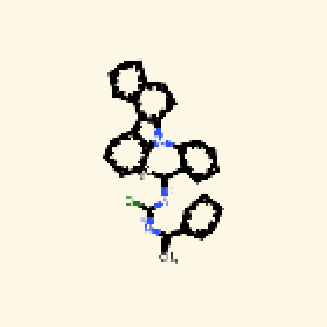 C=C(/N=C(Cl)\N=C(/C)c1ccccc1-n1c2ccccc2c2c3ccccc3ccc21)c1ccccc1